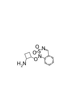 NC1CCC1ON1c2ccccc2C=NS1(=O)=O